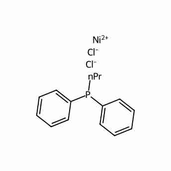 CCCP(c1ccccc1)c1ccccc1.[Cl-].[Cl-].[Ni+2]